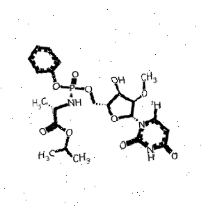 [2H]c1cc(=O)[nH]c(=O)n1[C@@H]1O[C@H](CO[P@@](=O)(N[C@@H](C)C(=O)OC(C)C)Oc2ccccc2)[C@@H](O)[C@H]1OC